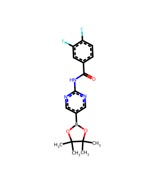 CC1(C)OB(c2cnc(NC(=O)c3ccc(F)c(F)c3)nc2)OC1(C)C